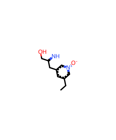 CCc1cc(CC(=N)CO)c[n+]([O-])c1